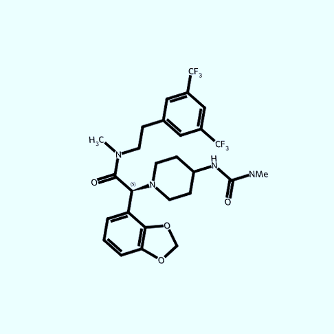 CNC(=O)NC1CCN([C@H](C(=O)N(C)CCc2cc(C(F)(F)F)cc(C(F)(F)F)c2)c2cccc3c2OCO3)CC1